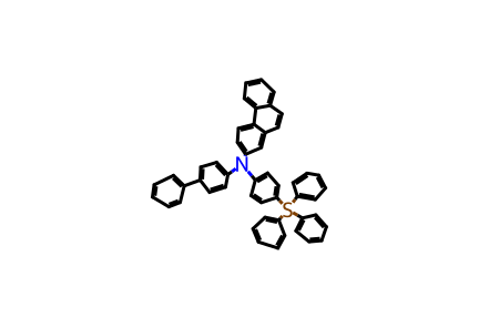 c1ccc(-c2ccc(N(c3ccc(S(c4ccccc4)(c4ccccc4)c4ccccc4)cc3)c3ccc4c(ccc5ccccc54)c3)cc2)cc1